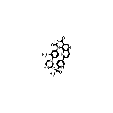 CS(=O)(=O)c1ccc(-c2ccc3ncc4c(=O)[nH]c(=O)n(-c5ccc(N6CCNCC6)c(C(F)(F)F)c5)c4c3n2)cn1